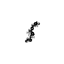 COc1cc(NC(=O)C2CCC(n3c(=O)[nH]c4c(C(=O)NCC5CCCN5C(=O)OC(C)(C)C)cccc43)CC2)ccc1C